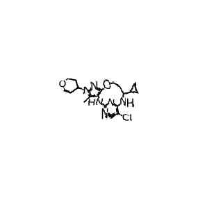 Cc1c2c(nn1C1CCOCC1)OCCC(C1CC1)Nc1nc(ncc1Cl)N2